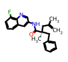 C=C(C)C[C@@](C)(Cc1ccccc1)C(=O)Nc1cnc2c(F)cccc2c1